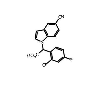 N#Cc1ccc2c(ccn2C(C(=O)O)c2ccc(F)cc2Cl)c1